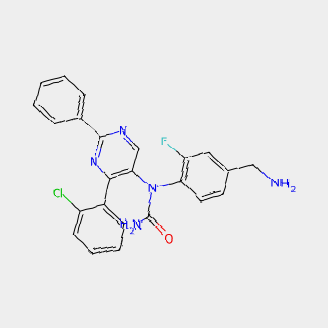 NCc1ccc(N(C(N)=O)c2cnc(-c3ccccc3)nc2-c2ccccc2Cl)c(F)c1